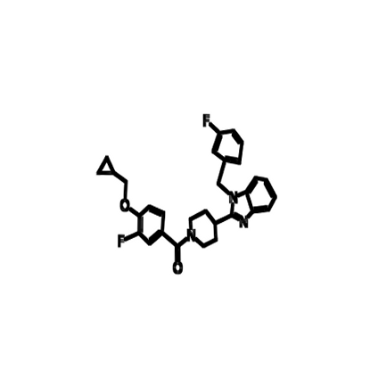 O=C(c1ccc(OCC2CC2)c(F)c1)N1CCC(c2nc3ccccc3n2Cc2cccc(F)c2)CC1